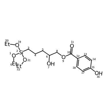 CCO[Si](CCCC(O)COC(=O)c1ccc(O)cc1)(OCC)OCC